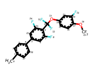 Cc1ccc(-c2cc(F)c(C(F)(F)Oc3ccc(OC(F)(F)F)c(F)c3)c(F)c2)cc1